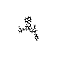 Cc1cccc2cccc(N3CCCc4c(nc(OC[C@@H]5CCCN5C)nc4N4CCN(C(=O)OCc5ccccc5)[C@@H](CC#N)C4)C3)c12